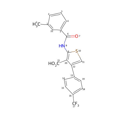 Cc1cccc(C(=O)Nc2scc(-c3ccc(C(F)(F)F)cc3)c2C(=O)O)c1